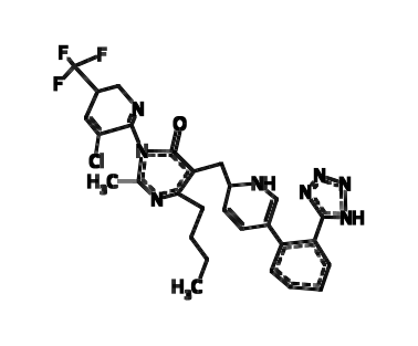 CCCCc1nc(C)n(C2=NCC(C(F)(F)F)C=C2Cl)c(=O)c1CC1C=CC(c2ccccc2-c2nnn[nH]2)=CN1